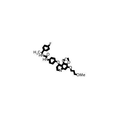 COCCCOc1cc2nccc(Oc3ccc(NC(=O)N[C@H](C)c4ccc(F)cc4)cc3)c2c2c1OCCO2